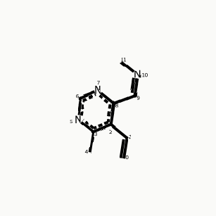 C=Cc1c(C)ncnc1/C=N\C